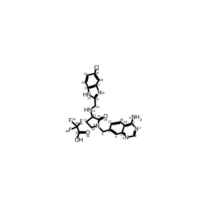 Nc1ncnc2cc(CN3CCC(NCc4nc5cc(Cl)ccc5[nH]4)C3=O)ccc12.O=C(O)C(F)(F)F